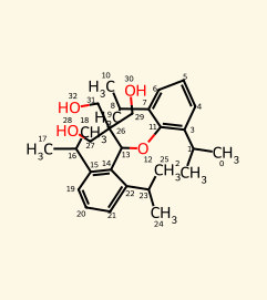 CC(C)c1cccc(C(C)C)c1OC(c1c(C(C)C)cccc1C(C)C)C(CO)(CO)CO